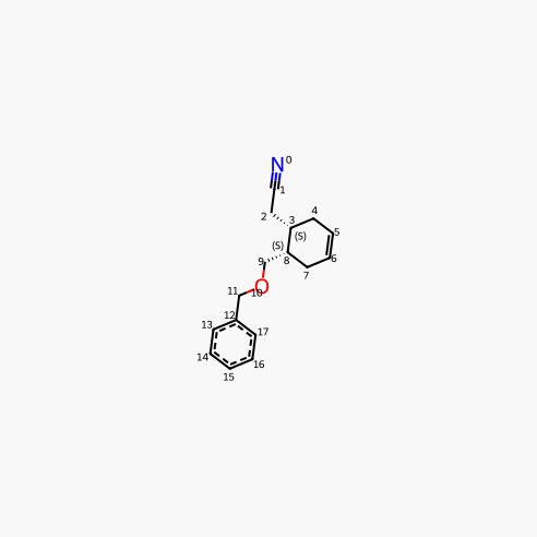 N#CC[C@@H]1CC=CC[C@@H]1COCc1ccccc1